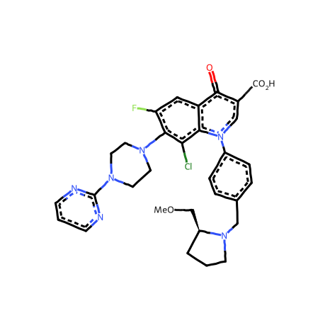 COC[C@@H]1CCCN1Cc1ccc(-n2cc(C(=O)O)c(=O)c3cc(F)c(N4CCN(c5ncccn5)CC4)c(Cl)c32)cc1